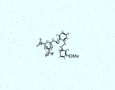 COc1cccc(CCc2ccccc2OCC(CCN(C)C)OC(=O)C(F)F)c1